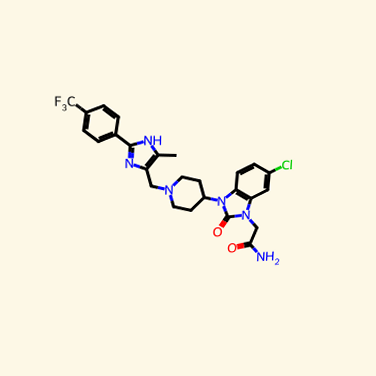 Cc1[nH]c(-c2ccc(C(F)(F)F)cc2)nc1CN1CCC(n2c(=O)n(CC(N)=O)c3cc(Cl)ccc32)CC1